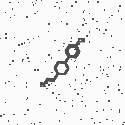 CCC=CC1CCC(c2ccc(C#N)cc2)CC1